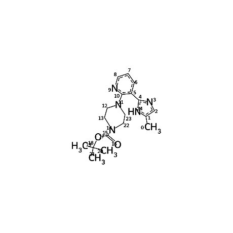 Cc1cnc(-c2cccnc2N2CCN(C(=O)OC(C)(C)C)CC2)[nH]1